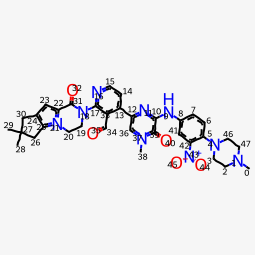 CN1CCN(c2ccc(Nc3nc(-c4ccnc(N5CCn6c(cc7c6CC(C)(C)C7)C5=O)c4C=O)cn(C)c3=O)cc2[N+](=O)[O-])CC1